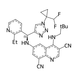 CCc1ncccc1[C@H](Nc1cc(C#N)c2ncc(C#N)c(NCC(C)(C)C)c2c1)c1cn(C2(C(F)F)CC2)nn1